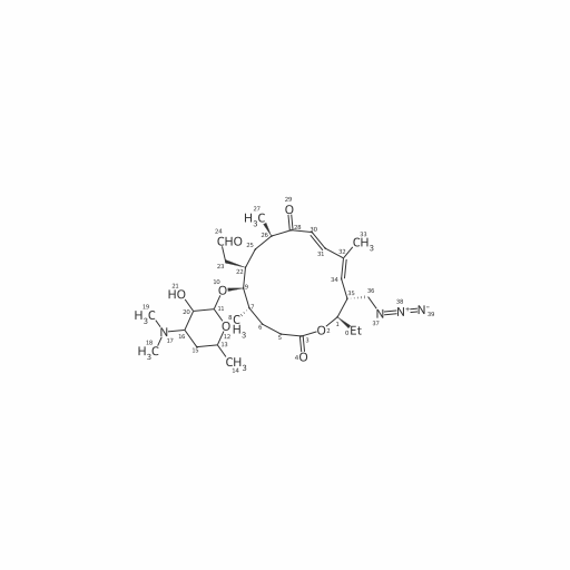 CC[C@H]1OC(=O)CC[C@H](C)[C@@H](OC2OC(C)CC(N(C)C)C2O)[C@@H](CC=O)C[C@@H](C)C(=O)/C=C/C(C)=C/[C@@H]1CN=[N+]=[N-]